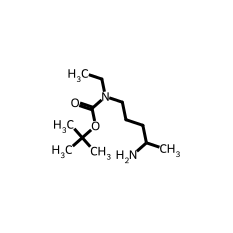 CCN(CCCC(C)N)C(=O)OC(C)(C)C